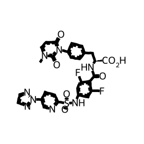 Cn1ccc(=O)n(-c2ccc(C[C@H](NC(=O)c3c(F)cc(NS(=O)(=O)c4ccc(-n5nccn5)cn4)cc3F)C(=O)O)cc2)c1=O